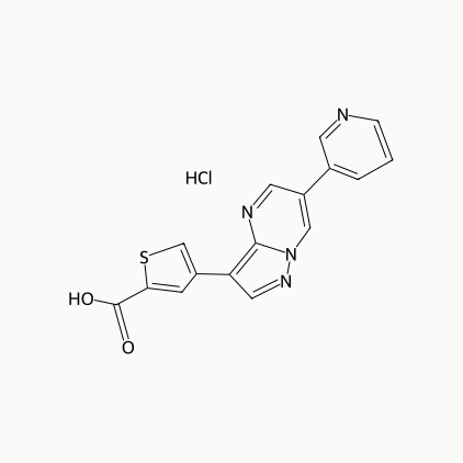 Cl.O=C(O)c1cc(-c2cnn3cc(-c4cccnc4)cnc23)cs1